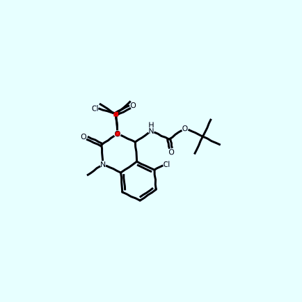 CC(=O)OC(NC(=O)OC(C)(C)C)c1c(Cl)cccc1N(C)C(=O)OC(C)Cl